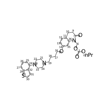 CCCOC(=O)OCN1C(=O)CCc2ccc(OCCCCN3CCN(c4cccc5sccc45)CC3)cc21